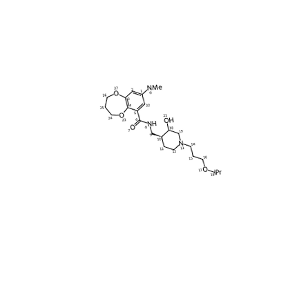 CNc1cc2c(c(C(=O)NC[C@@H]3CCN(CCCOC(C)C)CC3O)c1)OCCCO2